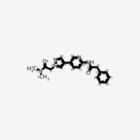 CN(C)C(=O)Cn1cc(-c2ccc(NC(=O)Cc3ccccc3)nc2)cn1